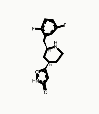 O=c1cc([C@@H]2CCN[C@H](Cc3cc(F)ccc3F)C2)o[nH]1